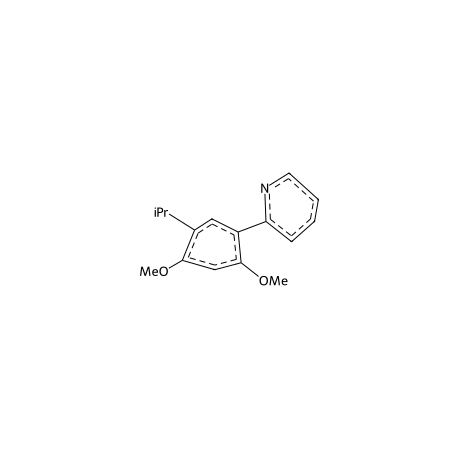 COc1cc(OC)c(C(C)C)cc1-c1ccccn1